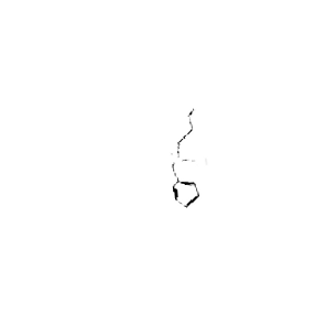 CCC[CH2][SnH]([Cl])[CH2]c1ccccc1